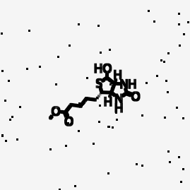 COC(=O)CCCC[C@@H]1SC(O)[C@@H]2NC(=O)N[C@H]12